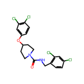 O=C(NCc1ccc(Cl)cc1Cl)N1CCC(Oc2ccc(Cl)c(Cl)c2)CC1